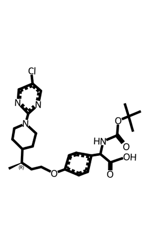 C[C@H](CCOc1ccc(C(NC(=O)OC(C)(C)C)C(=O)O)cc1)C1CCN(c2ncc(Cl)cn2)CC1